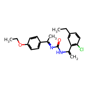 C=C(NC(=O)/N=C(\C)c1ccc(OCC)cc1)c1cc(CC)ccc1Cl